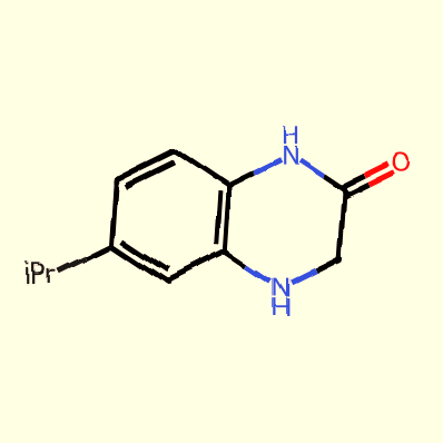 CC(C)c1ccc2c(c1)NCC(=O)N2